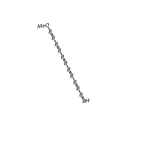 B=BB=BB=BB=BB=BB=BOC